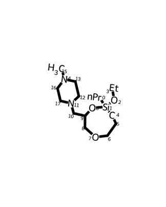 CCC[Si]1(OCC)CCCOCC(CN2CCN(C)CC2)O1